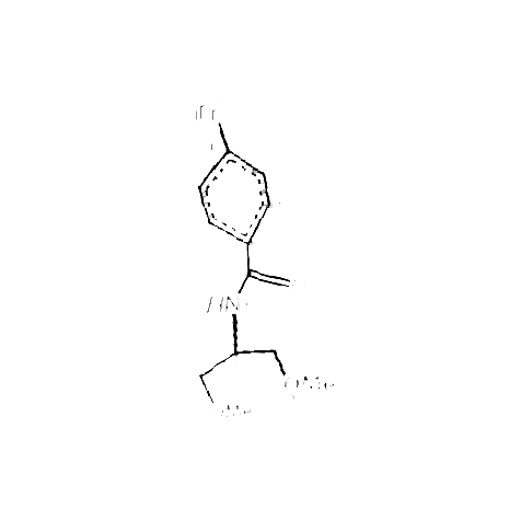 COCC(COC)NC(=O)c1ccc(C(C)C)cc1